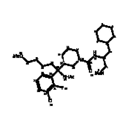 CNC[C@H](CC1CCCCC1)NC(=O)N1CCC[C@@H]([C@](CCCCOC)(NC(C)=O)c2cccc(Cl)c2F)C1